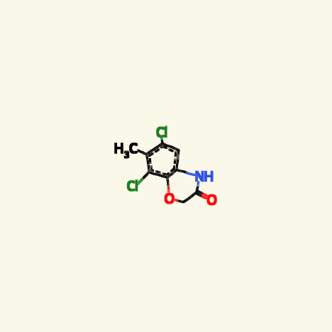 Cc1c(Cl)cc2c(c1Cl)OCC(=O)N2